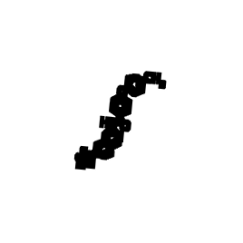 CN1CCC(Oc2ccc(C(=O)Nc3cc4cc(-c5nncs5)ccc4cn3)cc2)CC1